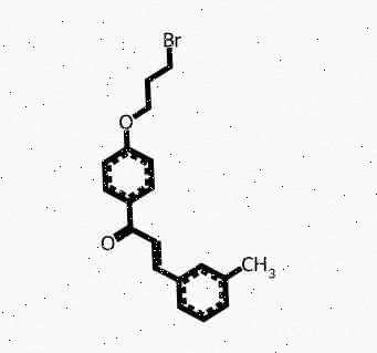 Cc1cccc(C=CC(=O)c2ccc(OCCCBr)cc2)c1